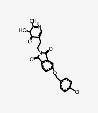 CC1=NC=C(CCN2C(=O)c3ccc(OCc4ccc(Cl)cc4)cc3C2=O)C(=O)C1O